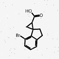 O=C(O)C1CC12CCc1cccc(Br)c12